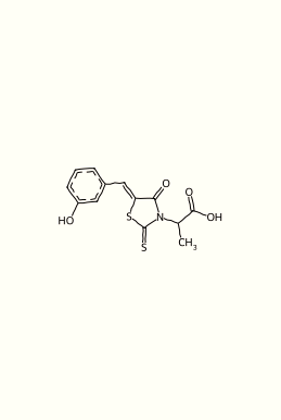 CC(C(=O)O)N1C(=O)C(=Cc2cccc(O)c2)SC1=S